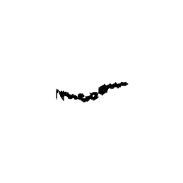 CCCCCCCc1ccc([C@H]2CC[C@H]([C@H]3CC[C@H](C=CC=CC#N)CC3)CC2)cc1